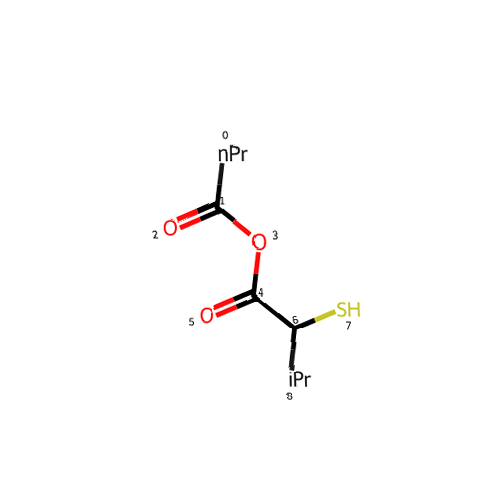 CCCC(=O)OC(=O)C(S)C(C)C